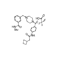 CC(C)(C)NC(=O)c1cccc(CN2CCN(C(=O)c3ccc(NC(=O)CC4CCC4)cc3)CC2)c1.O=C(O)C(F)(F)F